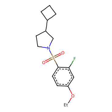 CCOc1ccc(S(=O)(=O)N2CCC(C3CCC3)C2)c(F)c1